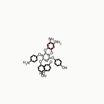 Nc1ccc(ON2P(Oc3ccc(O)cc3)N=P(Oc3ccc(O)cc3)(Oc3ccc(O)cc3)N(Oc3ccc(N)cc3)P2Oc2ccc(N)cc2)cc1